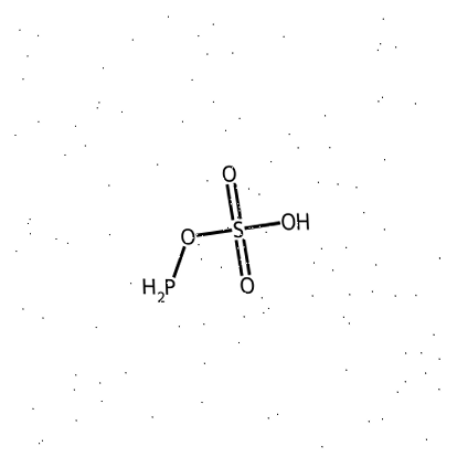 O=S(=O)(O)OP